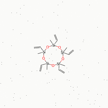 C=C[Si]1(C)O[Si](C)(C=C)O[Si](C)(C=C)O[Si](C)(C=C)O[Si](C)(C=C)O1